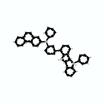 c1ccc(N(c2cccc(-c3cccc4c3oc3c5ccccc5n(-c5ccccc5)c43)c2)c2ccc3c(ccc4ccccc43)c2)cc1